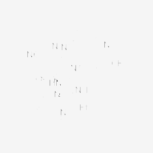 CCC(Nc1nc2c(c(C#N)nn2C(C)c2ccc(C(F)(F)F)nc2)c(=O)[nH]1)c1ncccn1